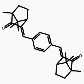 CC12CCC(/C(=C\c3ccc(/C=C4/C(=O)C5(C)CCC4C5(C)C)cc3)C1=O)C2(C)C